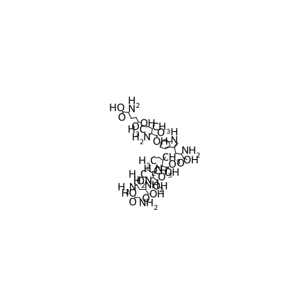 CCC(C)C(N)C(=O)O.CCC(C)C(N)C(=O)O.CCC(C)C(N)C(=O)O.NC(=O)CC(N)C(=O)O.NC(CCC(=O)O)C(=O)O.NC(Cc1c[nH]c2ccccc12)C(=O)O.NCC(=O)O